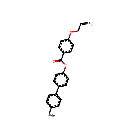 C=CCOc1ccc(C(=O)Oc2ccc(-c3ccc(OC)cc3)cc2)cc1